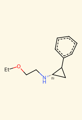 CCOCCN[C@H]1CC1c1ccccc1